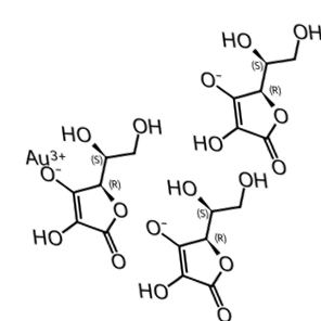 O=C1O[C@H]([C@@H](O)CO)C([O-])=C1O.O=C1O[C@H]([C@@H](O)CO)C([O-])=C1O.O=C1O[C@H]([C@@H](O)CO)C([O-])=C1O.[Au+3]